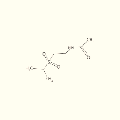 CC(=O)NCCS(=O)(=O)C(C)C